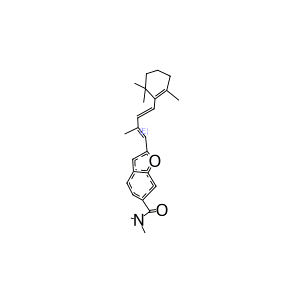 CC1=C(C=C/C(C)=C/c2cc3ccc(C(=O)N(C)C)cc3o2)C(C)(C)CCC1